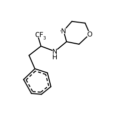 FC(F)(F)C(Cc1ccccc1)NC1COCC[N]1